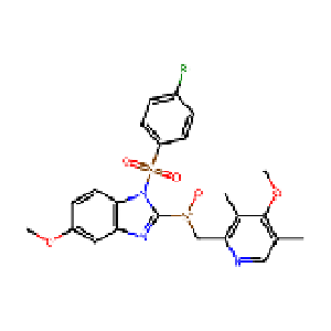 COc1ccc2c(c1)nc([S+]([O-])Cc1ncc(C)c(OC)c1C)n2S(=O)(=O)c1ccc(Br)cc1